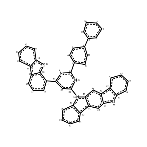 c1ccc(-c2ccc(-c3nc(-c4cccc5c4sc4ccccc45)cc(-n4c5ccccc5c5cc6oc7ccccc7c6cc54)n3)cc2)cc1